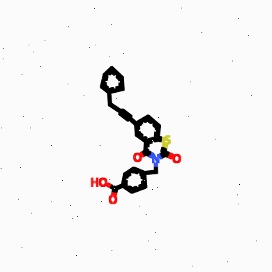 O=C(O)c1ccc(Cn2c(=O)sc3ccc(C#CCc4ccccc4)cc3c2=O)cc1